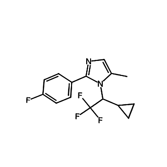 Cc1cnc(-c2ccc(F)cc2)n1C(C1CC1)C(F)(F)F